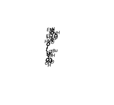 CCc1nc2c(cnn2CC)c(NC2CCOCC2)c1CNc1c(Nc2ccc(C#CCCCN(C[C@H](O)c3ccc(O)c4[nH]c(=O)ccc34)C(=O)OC(C)(C)C)cc2)c(=O)c1=O